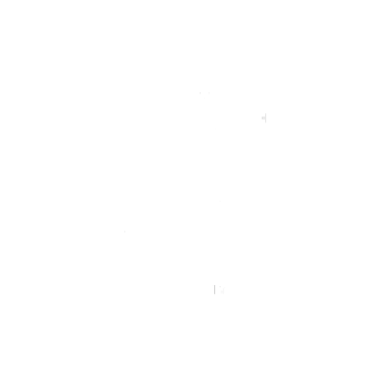 CCCc1c(C(=O)O)sc2c(Br)csc12